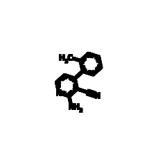 Cc1ccccc1-c1ccnc(N)c1C#N